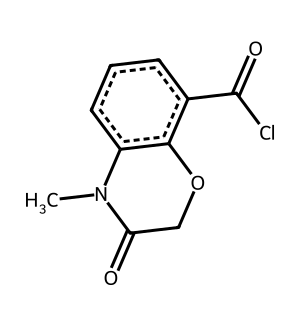 CN1C(=O)COc2c(C(=O)Cl)cccc21